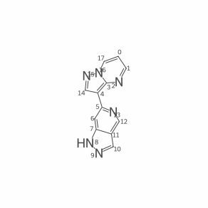 c1cnc2c(-c3cc4[nH]ncc4cn3)cnn2c1